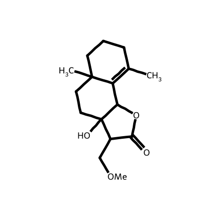 COCC1C(=O)OC2C3=C(C)CCCC3(C)CCC12O